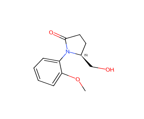 COc1ccccc1N1C(=O)CC[C@H]1CO